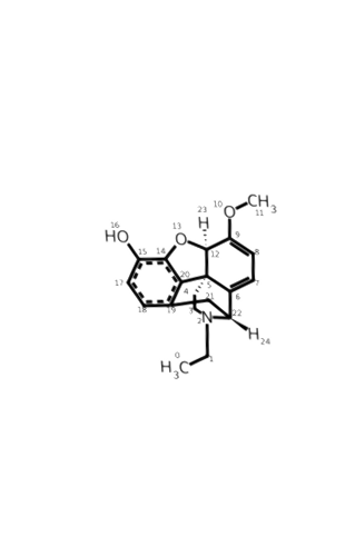 CCN1CC[C@@]23C4=CC=C(OC)[C@@H]2Oc2c(O)ccc(c23)C[C@H]41